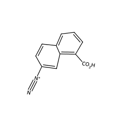 N#[N+]c1ccc2cccc(C(=O)O)c2c1